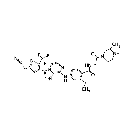 CCc1cc(Nc2nccn3c(-c4cn(CC#N)nc4C(F)(F)F)cnc23)ccc1C(=O)NCC(=O)N1CCNC(C)C1